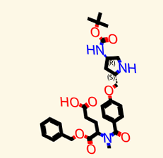 CN(C(=O)c1ccc(OC[C@@H]2C[C@@H](NC(=O)OC(C)(C)C)CN2)cc1)C(CCC(=O)O)C(=O)OCc1ccccc1